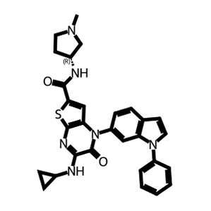 CN1CC[C@@H](NC(=O)c2cc3c(nc(NC4CC4)c(=O)n3-c3ccc4ccn(-c5ccccc5)c4c3)s2)C1